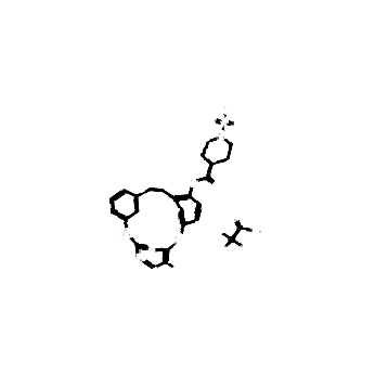 NS(=O)(=O)N1CCC(C(=O)Nc2ccc3cc2CCc2cccc(c2)Nc2ncc(Cl)c(n2)N3)CC1.O=C(O)C(F)(F)F